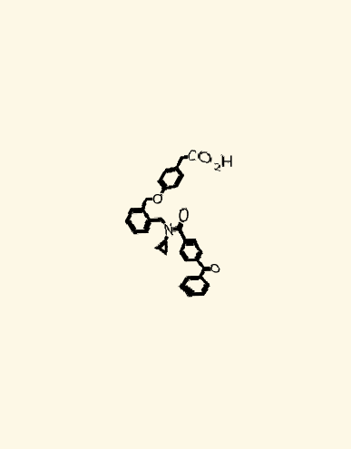 O=C(O)Cc1ccc(OCc2ccccc2CN(C(=O)c2ccc(C(=O)c3ccccc3)cc2)C2CC2)cc1